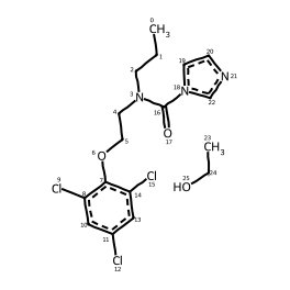 CCCN(CCOc1c(Cl)cc(Cl)cc1Cl)C(=O)n1ccnc1.C[CH]O